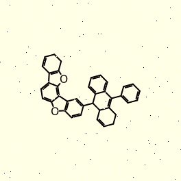 C1=CC2C(=C(c3ccccc3)c3ccccc3C2c2ccc3oc4ccc5c6c(oc5c4c3c2)CCC=C6)CC1